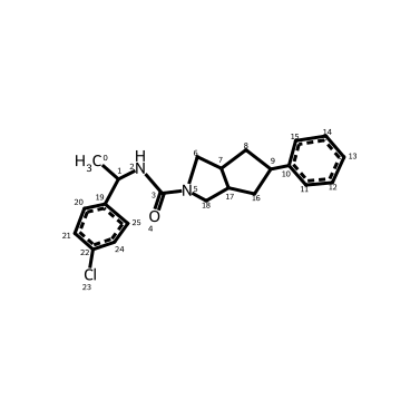 CC(NC(=O)N1CC2CC(c3ccccc3)CC2C1)c1ccc(Cl)cc1